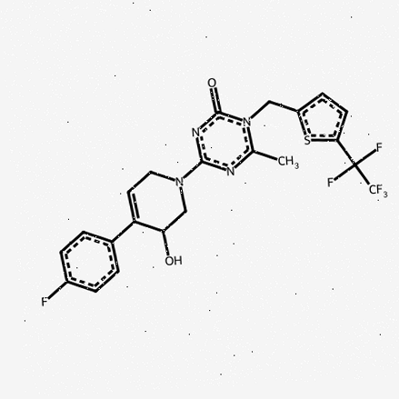 Cc1nc(N2CC=C(c3ccc(F)cc3)C(O)C2)nc(=O)n1Cc1ccc(C(F)(F)C(F)(F)F)s1